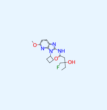 CCC(O)(CF)CC(=O)Nc1nc2ccc(OC)nc2n1C1CCC1